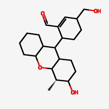 C[C@H]1C(O)CCC2C(C3CCC(CO)C=C3C=O)C3CCCCC3OC21